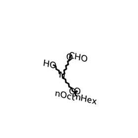 CCCCCCCCC(CCCCCC)C(=O)OCCCCCCN(CCCCO)CCCCCCCOC=O